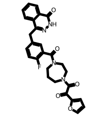 O=C(C(=O)N1CCCN(C(=O)c2cc(Cc3n[nH]c(=O)c4ccccc34)ccc2F)CC1)c1ccco1